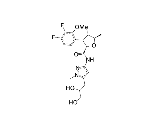 COc1c([C@@H]2[C@H](C)[C@@H](C)O[C@H]2C(=O)Nc2cc(CC(O)CO)n(C)n2)ccc(F)c1F